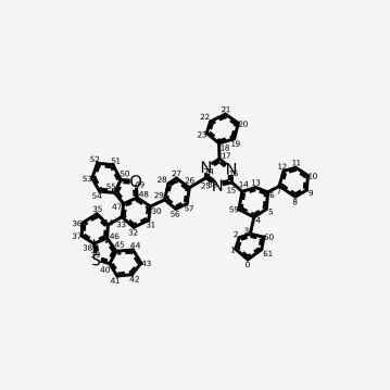 c1ccc(-c2cc(-c3ccccc3)cc(-c3nc(-c4ccccc4)nc(-c4ccc(-c5ccc(-c6cccc7sc8ccccc8c67)c6c5oc5ccccc56)cc4)n3)c2)cc1